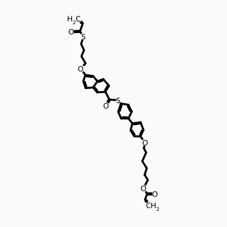 C=CC(=O)OCCCCCCOc1ccc(-c2ccc(SC(=O)c3ccc4cc(OCCCCSC(=O)C=C)ccc4c3)cc2)cc1